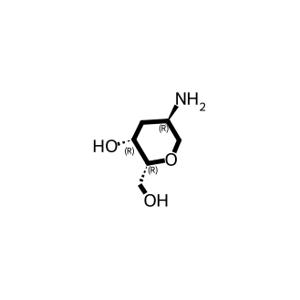 N[C@H]1CO[C@H](CO)[C@H](O)C1